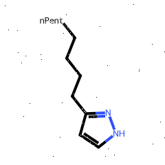 CCCCCCCCCc1cc[nH]n1